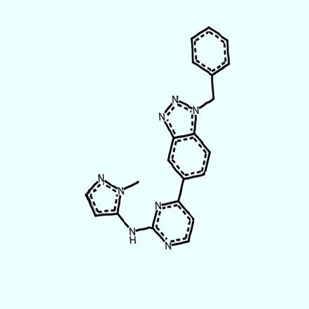 Cn1nccc1Nc1nccc(-c2ccc3c(c2)nnn3Cc2ccccc2)n1